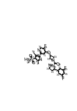 CNS(=O)(=O)c1c(C)nn(-c2cc(OC3CN(C(=O)N4N=CCC4c4cc(F)cc(F)c4)C3)c(F)cn2)c1C